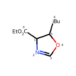 CCOC(=O)C1N=COC1C(C)CC